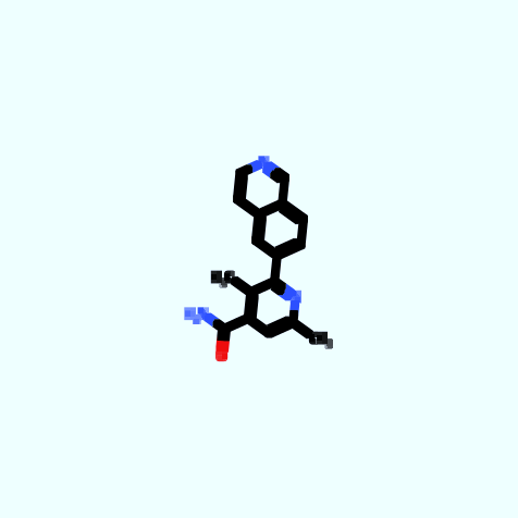 Cc1cc(C(N)=O)c(C)c(-c2ccc3cnccc3c2)n1